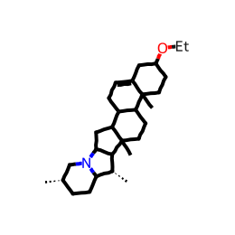 CCOC1CCC2(C)C(=CCC3C2CCC2(C)C3CC3C2[C@H](C)C2CC[C@H](C)CN32)C1